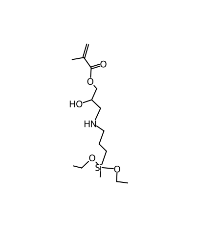 C=C(C)C(=O)OCC(O)CNCCC[Si](C)(OCC)OCC